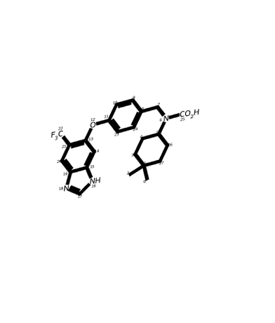 CC1(C)CCC(N(Cc2ccc(Oc3cc4[nH]cnc4cc3C(F)(F)F)cc2)C(=O)O)CC1